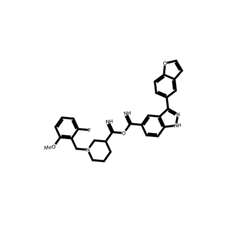 COc1cccc(F)c1CN1CCCC(C(=N)OC(=N)c2ccc3[nH]nc(-c4ccc5occc5c4)c3c2)C1